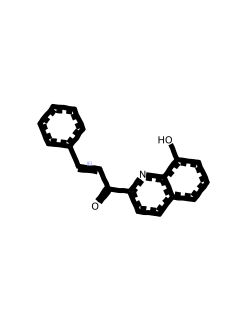 O=C(/C=C/c1ccccc1)c1ccc2cccc(O)c2n1